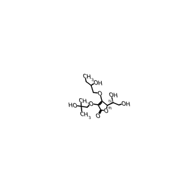 CCC(O)COC1=C(OCC(C)(C)O)C(=O)O[C@@H]1[C@@H](O)CO